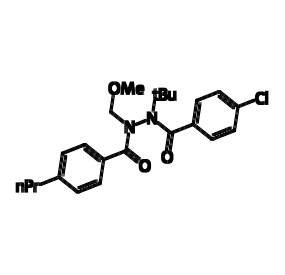 CCCc1ccc(C(=O)N(COC)N(C(=O)c2ccc(Cl)cc2)C(C)(C)C)cc1